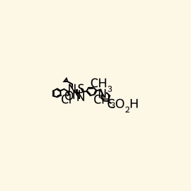 Cc1cc(-c2nnc(N(CC3CC3)C(=O)Cc3ccccc3Cl)s2)cc(C)c1CN1CCC(C(=O)O)CC1